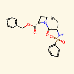 CC(C)C[C@H](NS(=O)(=O)c1ccccc1)C(=O)N1CC[C@H]1C(=O)OCc1ccccc1